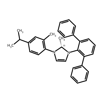 Cc1cc(C(C)C)ccc1N1C=CN(c2c(-c3ccccc3)cccc2-c2ccccc2)[C@H]1C